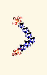 C1=NC=NC1.C1=NC=NC1.C1=NC=NC1.C1=NC=NC1.C1=NC=NC1.C1=NC=NC1.O=P([O-])(O)O.O=P([O-])(O)O.[Ni+2]